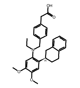 CCN(Cc1ccc(CC(=O)O)cc1)c1cc(OC)c(OC)cc1[C@@H]1CCc2c[c]ccc2C1